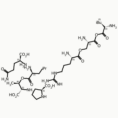 CC(C)C[C@H](N)C(=O)O[C@H](C)[C@H](N)C(=O)O.CC[C@H](C)[C@H](N)C(=O)OC(=O)[C@@H](N)COC(=O)[C@@H](N)CCCNC(=N)N.NC(=O)CC[C@H](N)C(=O)O.O=C(O)[C@@H]1CCCN1